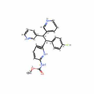 CC(C)(C)OC(=O)Nc1cccc(C(c2ccc(F)cc2)C(c2cccnc2)c2cccnc2)n1